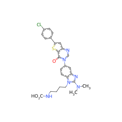 CN(C)c1nc2cc(-n3cnc4cc(-c5ccc(Cl)cc5)sc4c3=O)ccc2n1CCCCNC(=O)O